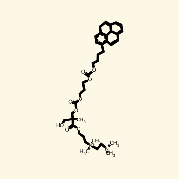 CN(C)CC[N+](C)(C)CCCOC(=O)C(C)(CO)COC(=O)OCCCOC(=O)OCCCCc1ccc2c3c1C=CC1=CC=CC(=CC2)C13